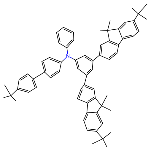 CC(C)(C)c1ccc(-c2ccc(N(c3ccccc3)c3cc(-c4ccc5c(c4)C(C)(C)c4cc(C(C)(C)C)ccc4-5)cc(-c4ccc5c(c4)C(C)(C)c4cc(C(C)(C)C)ccc4-5)c3)cc2)cc1